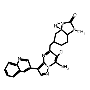 CN1C(=O)N[C@H]2CC(Cc3nc4c(-c5cnc6ccccc6c5)cnn4c(N)c3Cl)CCC21